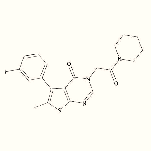 Cc1sc2ncn(CC(=O)N3CCCCC3)c(=O)c2c1-c1cccc(I)c1